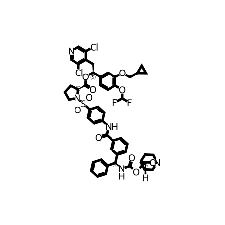 O=C(N[C@@H](c1ccccc1)c1cccc(C(=O)Nc2ccc(S(=O)(=O)N3CCC[C@H]3C(=O)O[C@@H](Cc3c(Cl)cncc3Cl)c3ccc(OC(F)F)c(OCC4CC4)c3)cc2)c1)O[C@H]1CN2CCC1CC2